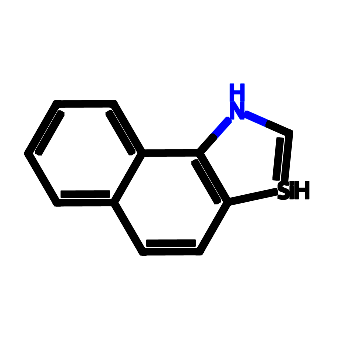 c1ccc2c(c1)ccc1[siH]c[nH]c12